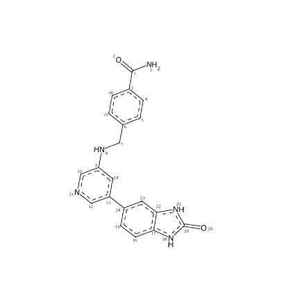 NC(=O)c1ccc(CNc2cncc(-c3ccc4[nH]c(=O)[nH]c4c3)c2)cc1